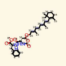 COC(=O)[C@H](Cc1ccccc1)NC(=O)[C@H](CC(=O)OC/C=C(C)/C=C/C=C(C)/C=C/C1=C(C)CCCC1(C)C)NC=O